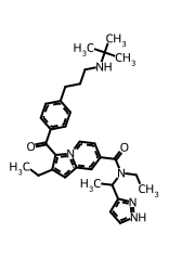 CCc1cc2cc(C(=O)N(CC)C(C)c3cc[nH]n3)ccn2c1C(=O)c1ccc(CCCNC(C)(C)C)cc1